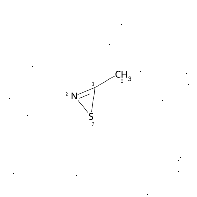 CC1=NS1